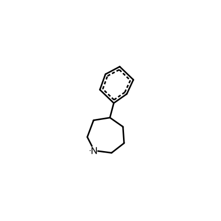 c1ccc(C2CCC[N]CC2)cc1